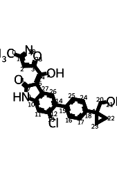 Cc1cc(C(O)=C2C(=O)Nc3cc(Cl)c(-c4ccc(C5(CO)CC5)cc4)cc32)on1